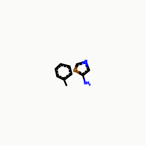 Cc1ccccc1.Nc1cncs1